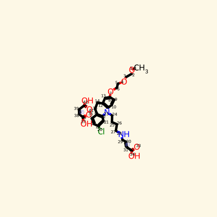 COCCOCCOc1ccc2c(c1)CCc1ccc(Cl)cc1N2CCCCNC/C=C/C(=O)O.O=C(O)/C=C\C(=O)O